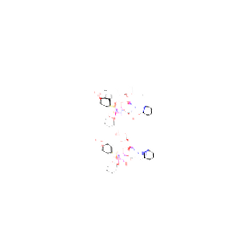 COc1ccc(S(=O)(=O)N(C[C@@H](O)[C@H](Cc2ccccc2)NC(=O)OC(C)(C)C)OC2CCCCC2)cc1.COc1ccc(S(=O)(=O)N(C[C@@H](O)[C@H](Cc2ccccc2)NC(=O)OC2COCOC2)OC2CCCCC2)cc1